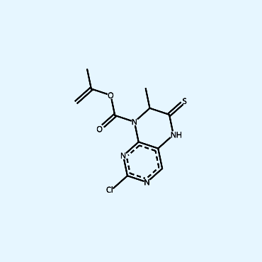 C=C(C)OC(=O)N1c2nc(Cl)ncc2NC(=S)C1C